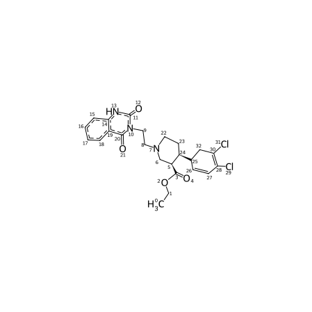 CCOC(=O)[C@H]1CN(CCn2c(=O)[nH]c3ccccc3c2=O)CC[C@H]1C1C=CC(Cl)=C(Cl)C1